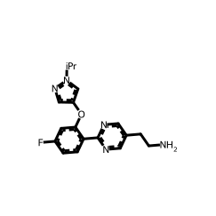 CC(C)n1cc(Oc2cc(F)ccc2-c2ncc(CCN)cn2)cn1